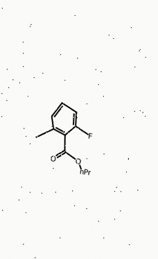 CCCOC(=O)c1c(C)cccc1F